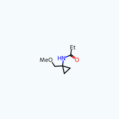 CCC(=O)NC1(COC)CC1